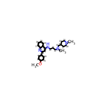 COc1ccc(-c2cc(NCCCN(C)CC3CCN(C)CC3)c3ccccc3n2)cc1